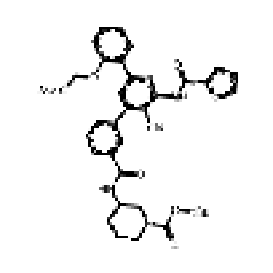 COCOc1ccccc1-c1cc(-c2cccc(C(=O)NC3CCCN(C(=O)OC(C)(C)C)C3)c2)c(C#N)c(NC(=O)c2cccs2)n1